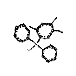 Cc1cc(C)c([Si](Cl)(c2ccccc2)c2ccccc2)cc1C